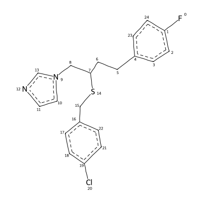 Fc1ccc(CCC(Cn2ccnc2)SCc2ccc(Cl)cc2)cc1